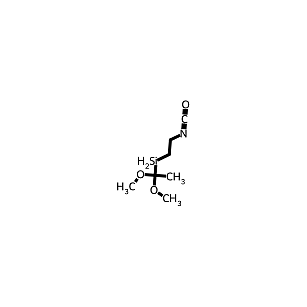 COC(C)(OC)[SiH2]CCN=C=O